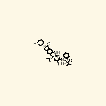 CC(C)Oc1cc2c(cc1Nc1ncc(I)c(Nc3ccccc3S(=O)(=O)C(C)C)n1)C(=O)N([C@H]1CCCNC1)C2